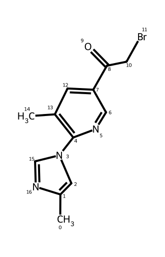 Cc1cn(-c2ncc(C(=O)CBr)cc2C)cn1